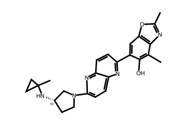 Cc1nc2c(C)c(O)c(-c3ccc4nc(N5CC[C@H](NC6(C)CC6)C5)ccc4n3)cc2o1